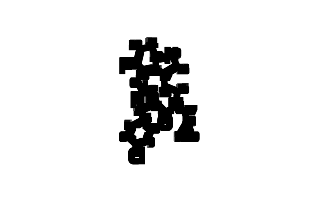 Cc1nc(-c2ccc(Cl)cc2)c(C(=O)N(CCC2=CN=C3CC=C(F)C=C23)CC2CC2)s1